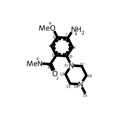 CNC(=O)c1cc(OC)c(N)cc1N1CCN(C)CC1